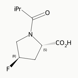 CC(C)C(=O)N1C[C@H](F)C[C@H]1C(=O)O